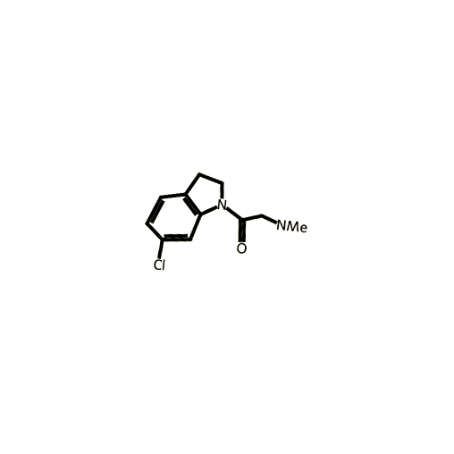 CNCC(=O)N1CCc2ccc(Cl)cc21